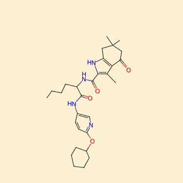 CCCCC(NC(=O)c1[nH]c2c(c1C)C(=O)CC(C)(C)C2)C(=O)Nc1ccc(OC2CCCCC2)nc1